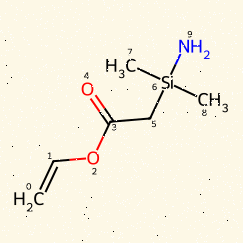 C=COC(=O)C[Si](C)(C)N